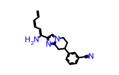 C=C/C=C\C=C(/N)c1cn2c(n1)CC(c1cccc(C#N)c1)CC2